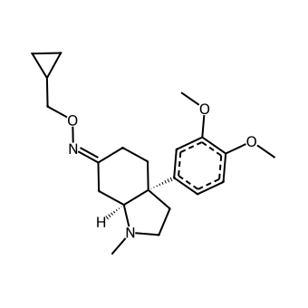 COc1ccc([C@@]23CC/C(=N\OCC4CC4)C[C@@H]2N(C)CC3)cc1OC